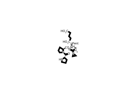 CCCCCC.NC(=O)N1CC1.O=C(O)CCCC(=O)O.O=C(O)[C@@H]1CCCN1C(=O)[C@@H]1CCCN1